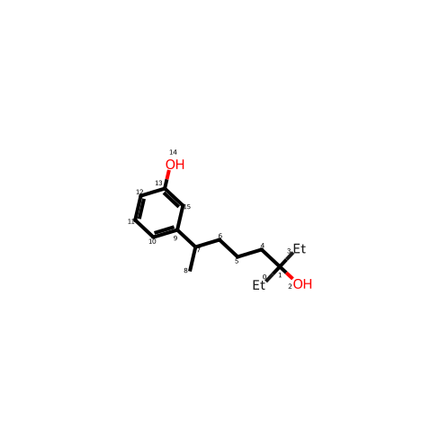 CCC(O)(CC)CCCC(C)c1cccc(O)c1